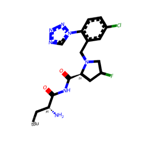 CC(C)(C)C[C@@H](N)C(=O)NC(=O)[C@@H]1CC(F)CN1Cc1cc(Cl)ccc1-n1cnnn1